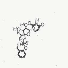 O=c1ccn([C@@H]2O[C@@](COP3(=S)OCc4ccccc4O3)(C(F)F)[C@@H](O)[C@@H]2O)c(=O)[nH]1